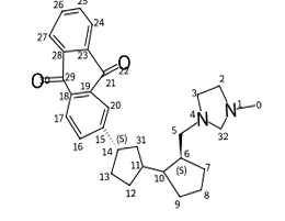 CN1CCN(C[C@H]2CCCC2C2CC[C@H](c3ccc4c(c3)C(=O)c3ccccc3C4=O)C2)C1